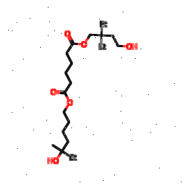 CCC(C)(O)CCCCOC(=O)CCCCC(=O)OCC(CC)(CC)CCO